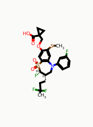 CSc1cc2c(cc1OCC1(C(=O)O)CC1)S(=O)(=O)[C@@H](F)[C@@H](CCC(C)(F)F)CN2c1cccc(F)c1